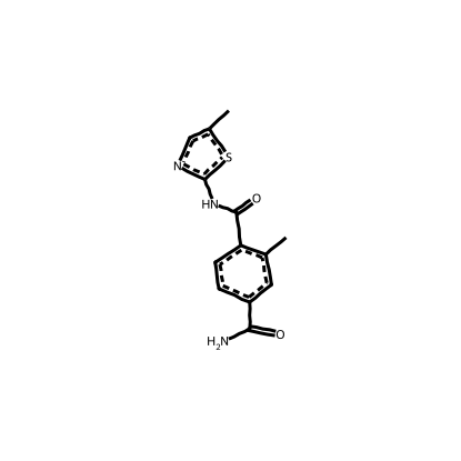 Cc1cnc(NC(=O)c2ccc(C(N)=O)cc2C)s1